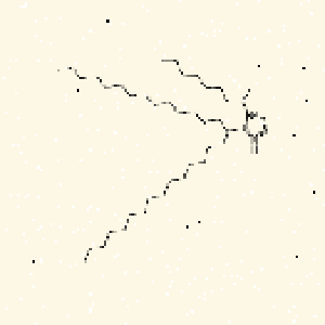 CCCCCCCCCCCCCCCC(CCCCCCCCCCCCCC)c1[nH]cc[n+]1C(C)CCCCCCC